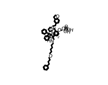 NC(=O)C(c1ccccc1)(c1ccccc1)[C@@H]1CC[N+](CCc2ccc3c(c2)CCO3)(Cc2cc(C(O)CNCCCCCCOCCCCc3ccccc3)ccc2OCOP(=O)(O)O)C1